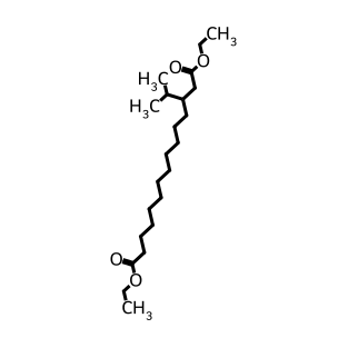 CCOC(=O)CCCCCCCCCCCC(CC(=O)OCC)C(C)C